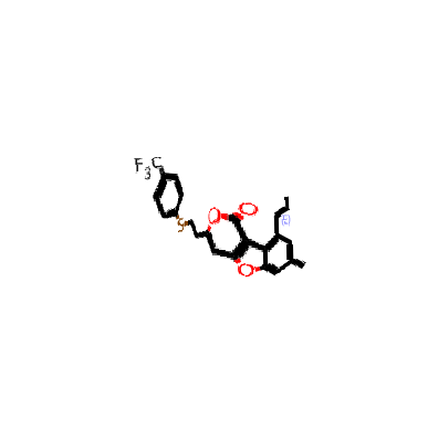 C/C=C/c1cc(C)cc2oc3cc(CCSc4ccc(C(F)(F)F)cc4)oc(=O)c3c12